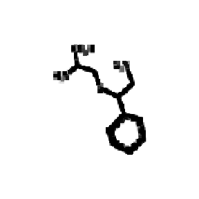 NC(CSC(C[N+](=O)[O-])c1ccccc1)C(=O)O